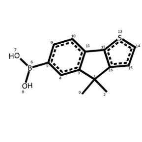 CC1(C)c2cc(B(O)O)ccc2-c2sccc21